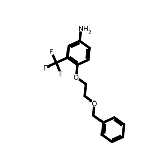 Nc1ccc(OCCOCc2ccccc2)c(C(F)(F)F)c1